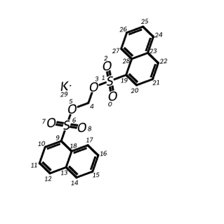 O=S(=O)(OCOS(=O)(=O)c1cccc2ccccc12)c1cccc2ccccc12.[K]